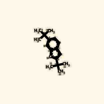 CC(C)(C)c1ccc2cc(C(C)(C)C)oc2c1